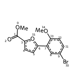 COC(=O)c1ccc(-c2cc(Br)ccc2OC)o1